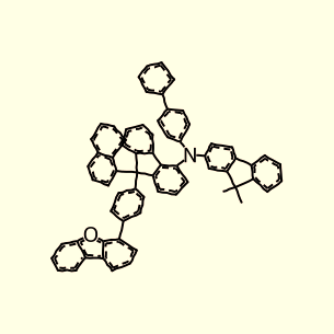 CC1(C)c2ccccc2-c2ccc(N(c3ccc(-c4ccccc4)cc3)c3cccc4c3-c3ccccc3C4(c3ccc(-c4cccc5c4oc4ccccc45)cc3)c3cccc4ccccc34)cc21